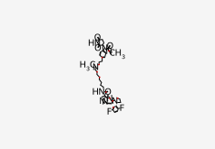 CN(CCCCCCCCNC(=O)c1cnn2ccc(N3CCC[C@@H]3c3cc(F)ccc3F)nc12)CCCc1ccc2c(c1)n(C)c(=O)n2C1CCC(=O)NC1=O